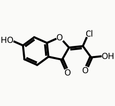 O=C(O)C(Cl)=C1Oc2cc(O)ccc2C1=O